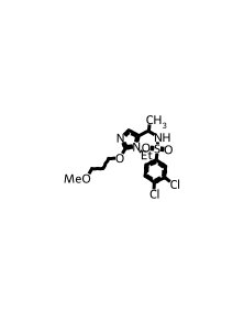 CCn1c(C(C)NS(=O)(=O)c2ccc(Cl)c(Cl)c2)cnc1OCCCOC